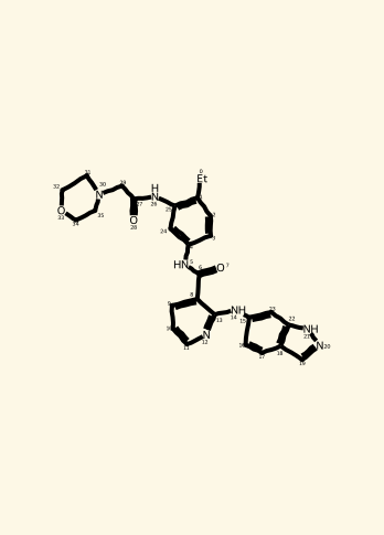 CCc1ccc(NC(=O)c2cccnc2Nc2ccc3cn[nH]c3c2)cc1NC(=O)CN1CCOCC1